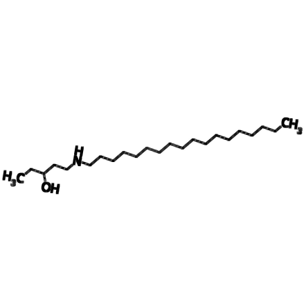 CCCCCCCCCCCCCCCCCCNCCC(O)CC